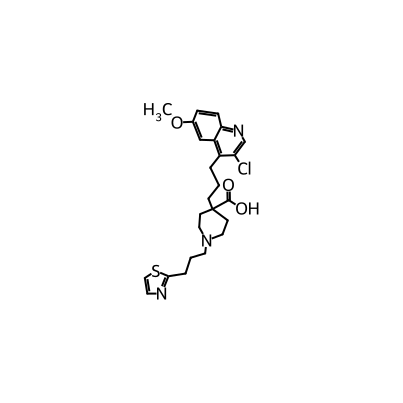 COc1ccc2ncc(Cl)c(CCCC3(C(=O)O)CCN(CCCc4nccs4)CC3)c2c1